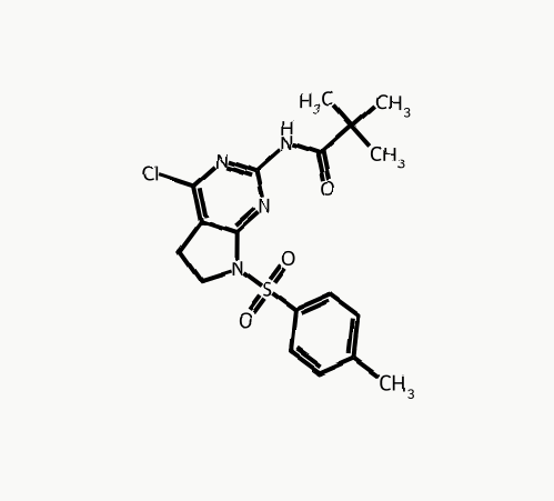 Cc1ccc(S(=O)(=O)N2CCc3c(Cl)nc(NC(=O)C(C)(C)C)nc32)cc1